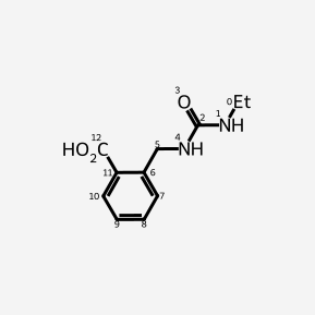 CCNC(=O)NCc1ccccc1C(=O)O